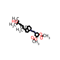 CCC(O)(C#CCC(C)C1=CCC2/C(=C/C=C3/CC(OC(C)=O)C[C@H](OC(C)=O)C3)CCC[C@]12C)CC